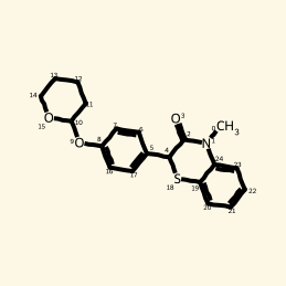 CN1C(=O)C(c2ccc(OC3CCCCO3)cc2)Sc2ccccc21